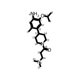 Cc1cc(N)c(OC(C)C)cc1C1CCN(C(=O)CCN(C)C)CC1